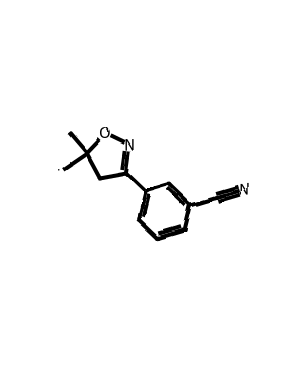 [CH2]C1(C)CC(c2cccc(C#N)c2)=NO1